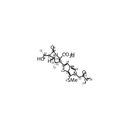 CSc1c2sc(C3=C(C(=O)O)N4C(=O)[C@H]([C@@H](C)O)[C@H]4[C@H]3C)c[n+]2cn1CC(=O)N(C)C.[I-]